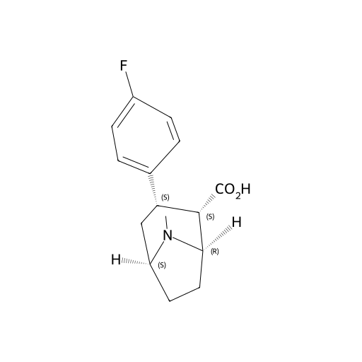 CN1[C@H]2CC[C@@H]1[C@@H](C(=O)O)[C@@H](c1ccc(F)cc1)C2